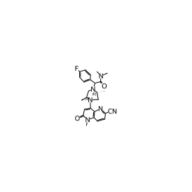 C[C@@H]1CN(c2cc(=O)n(C)c3ccc(C#N)nc23)[C@@H](C)CN1C(C(=O)N(C)C)c1ccc(F)cc1